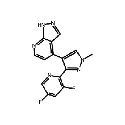 Cn1cc(-c2ccnc3[nH]ncc23)c(-c2ncc(F)cc2F)n1